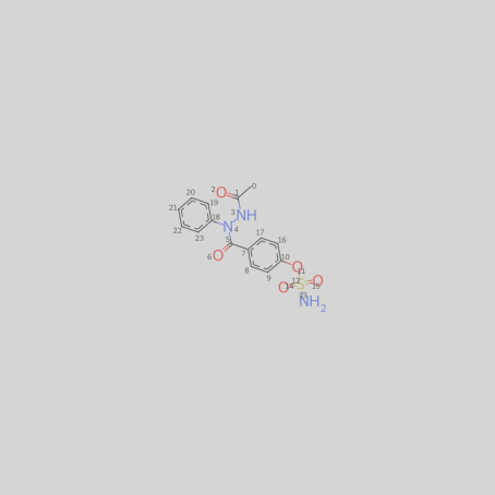 CC(=O)NN(C(=O)c1ccc(OS(N)(=O)=O)cc1)c1ccccc1